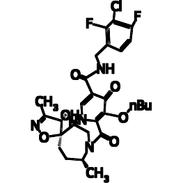 CCCCOc1c2n(cc(C(=O)NCc3ccc(F)c(Cl)c3F)c1=O)[C@@H]1CN(C2=O)[C@@H](C)CC[C@@]12ON=C(C)[C@@H]2O